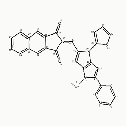 Cn1c(-c2ccccc2)nc2c1cc(C=C1C(=O)c3cc4ccccc4cc3C1=O)n2-c1cccs1